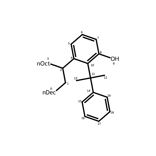 CCCCCCCCCCCC(CCCCCCCC)c1cccc(O)c1C(C)(C)c1ccccc1